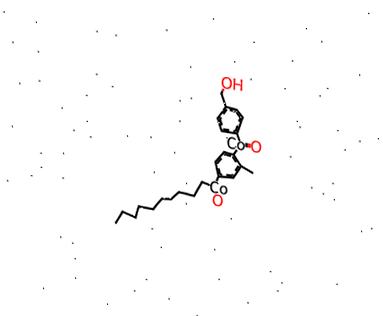 CCCCCCCCC[CH2][Co](=[O])[c]1cc[c]([Co](=[O])[c]2ccc(CO)cc2)c(C)c1